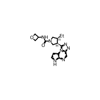 CC[C@@H]1CN(C(=O)NC2COC2)C[C@@H]1c1nnc2cnc3[nH]ccc3n12